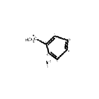 O=C(O)c1ccccc1.[In]